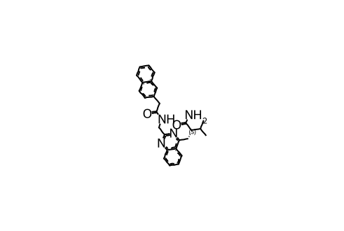 CC(C)[C@H](Cc1nc(CNC(=O)Cc2ccc3ccccc3c2)nc2ccccc12)C(N)=O